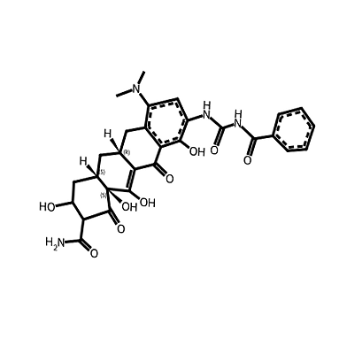 CN(C)c1cc(NC(=O)NC(=O)c2ccccc2)c(O)c2c1C[C@H]1C[C@H]3CC(O)C(C(N)=O)C(=O)[C@@]3(O)C(O)=C1C2=O